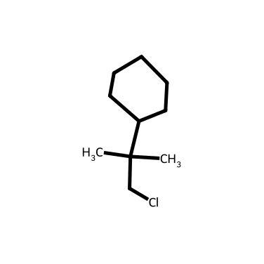 CC(C)(CCl)C1CCCCC1